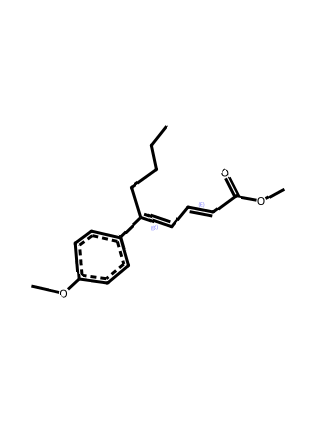 CCCC/C(=C\C=C\C(=O)OC)c1ccc(OC)cc1